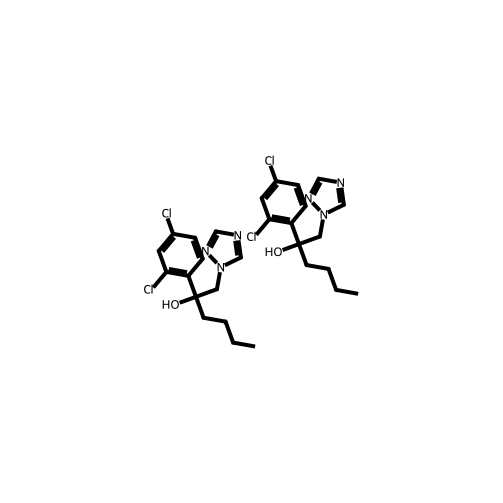 CCCCC(O)(Cn1cncn1)c1ccc(Cl)cc1Cl.CCCCC(O)(Cn1cncn1)c1ccc(Cl)cc1Cl